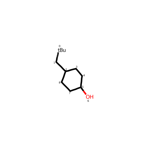 CC(C)(C)CC1CCC(O)CC1